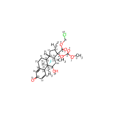 COC(=O)OC1(C(=O)OCCl)C(C)C[C@H]2[C@@H]3CCC4=CC(=O)C=C[C@]4(C)[C@]3(F)C(O)C[C@@]21C